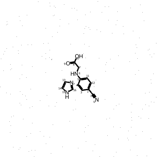 N#Cc1ccc(NCC(=O)O)cc1.c1c[nH]cn1